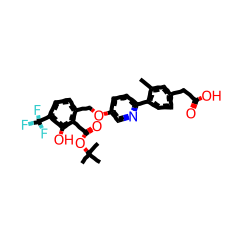 Cc1cc(CC(=O)O)ccc1-c1ccc(OCc2ccc(C(F)(F)F)c(O)c2C(=O)OC(C)(C)C)cn1